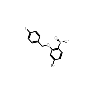 O=[N+]([O-])c1ccc(Br)cc1OCc1ccc(F)cc1